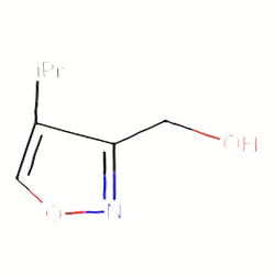 CC(C)c1conc1CO